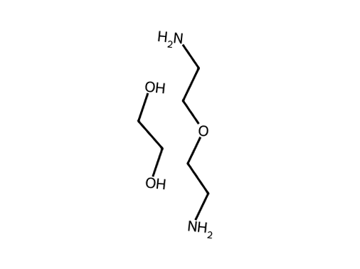 NCCOCCN.OCCO